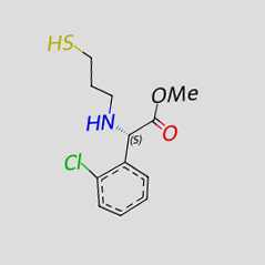 COC(=O)[C@@H](NCCCS)c1ccccc1Cl